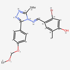 CCOCOc1ccc(-c2nnc(SC)n2/N=C/c2cc(C)c(O)cc2Br)cc1